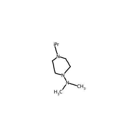 CC(C)N1CCN(N(C)C)CC1